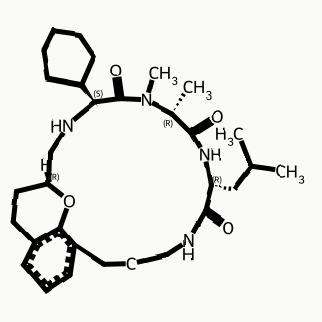 CC(C)C[C@H]1NC(=O)[C@@H](C)N(C)C(=O)[C@H](C2CCCCC2)NC[C@H]2CCc3cccc(c3O2)CCCNC1=O